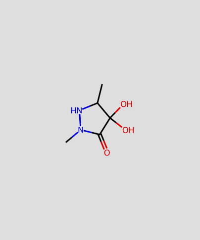 CC1NN(C)C(=O)C1(O)O